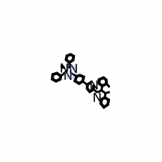 C=N/C(=N\C(=N/Cc1ccccc1)c1ccc(-c2ccc(C3=Nc4ccccc4C(C)C3c3ccccc3C)nc2)cc1)c1ccccc1